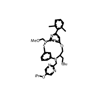 COCN1Sc2cccc(c2)N(Cc2ncc(OC(C)C)cn2)C(CC(C)(C)C)COc2cc(-c3c(C)cccc3C)nc1n2